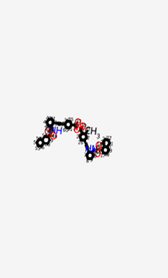 Cc1cc(C#Cc2ccccc2NS(=O)(=O)c2cccc3ccccc23)ccc1C(=O)OC(=O)c1ccc(C#Cc2ccccc2NS(=O)(=O)C2=Cc3ccccc3CC2)cc1